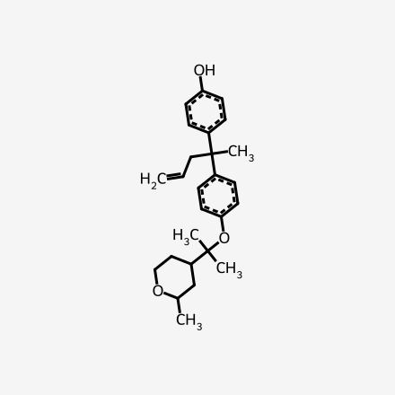 C=CCC(C)(c1ccc(O)cc1)c1ccc(OC(C)(C)C2CCOC(C)C2)cc1